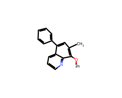 Cc1cc(-c2ccccc2)c2cccnc2c1OC(C)C